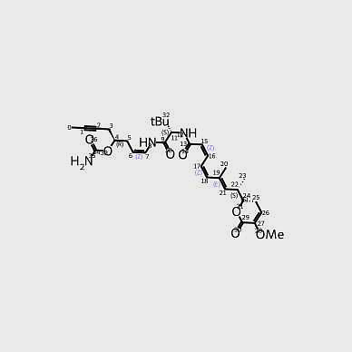 CC#CC[C@@H](C/C=C\NC(=O)[C@@H](NC(=O)\C=C/C=C\C(C)=C\[C@H](C)[C@@H]1CC=C(OC)C(=O)O1)C(C)(C)C)OC(N)=O